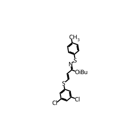 Cc1ccc(S/N=C(/C=C/Sc2cc(Cl)cc(Cl)c2)OCC(C)C)cc1